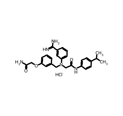 CC(C)c1ccc(NC(=O)CN(Cc2cccc(OCC(N)=O)c2)c2cccc(C(=N)N)c2)cc1.Cl